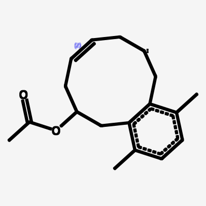 CC(=O)OC1C/C=C\C[C]Cc2c(C)ccc(C)c2C1